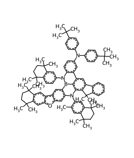 Cc1cc2c(cc1N1c3cc4oc5cc6c(cc5c4cc3B3c4c(cc5c(c41)C(C)(C)c1ccccc1-5)-c1cc(N(c4ccc(C(C)(C)C)cc4)c4ccc(C(C)(C)C)cc4)ccc1N3c1ccc3c(c1)C(C)(C)CCC3(C)C)C(C)(C)CCC6(C)C)C(C)(C)CCC2(C)C